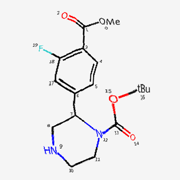 COC(=O)c1ccc(C2CNCCN2C(=O)OC(C)(C)C)cc1F